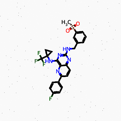 CS(=O)(=O)c1cccc(CNc2nc(NC3(C(F)(F)F)CC3)c3nc(-c4ccc(F)cc4)ccc3n2)c1